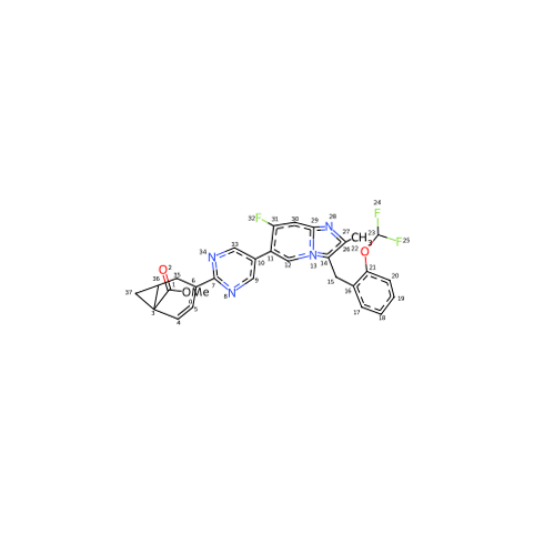 COC(=O)C12C=CC(c3ncc(-c4cn5c(Cc6ccccc6OC(F)F)c(C)nc5cc4F)cn3)CC1C2